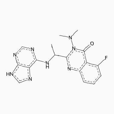 CC(Nc1ncnc2[nH]cnc12)c1nc2cccc(F)c2c(=O)n1N(C)C